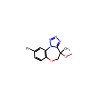 CC(C)c1ccc2c(c1)-n1nnnc1C(C)(OI)CO2